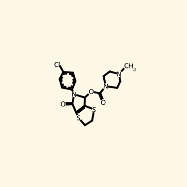 CN1CCN(C(=O)OC2C3=C(SCCS3)C(=O)N2c2ccc(Cl)cc2)CC1